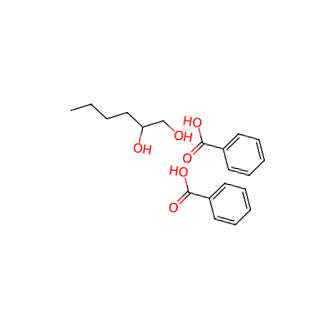 CCCCC(O)CO.O=C(O)c1ccccc1.O=C(O)c1ccccc1